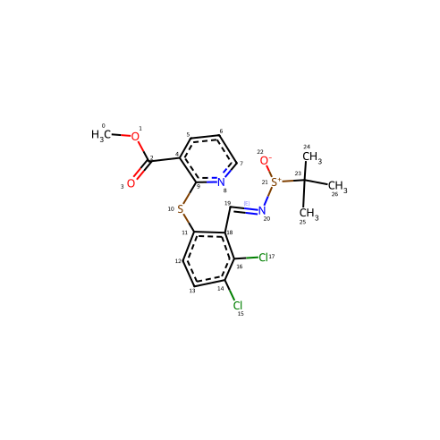 COC(=O)c1cccnc1Sc1ccc(Cl)c(Cl)c1/C=N/[S+]([O-])C(C)(C)C